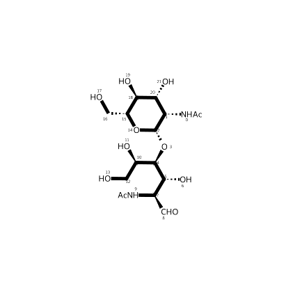 CC(=O)N[C@@H]1[C@H](O[C@@H]([C@H](O)[C@@H](C=O)NC(C)=O)[C@H](O)CO)O[C@H](CO)[C@@H](O)[C@@H]1O